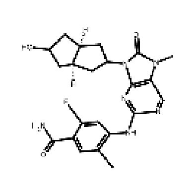 Cc1cc(C(N)=O)c(F)cc1Nc1ncc2c(n1)n(C1C[C@H]3CC(O)C[C@H]3C1)c(=O)n2C